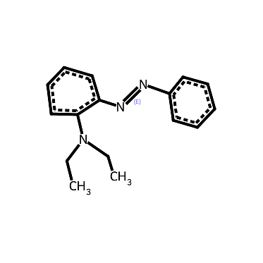 CCN(CC)c1ccccc1/N=N/c1ccccc1